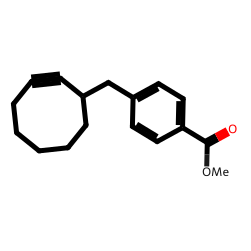 COC(=O)c1ccc(CC2C#CCCCCC2)cc1